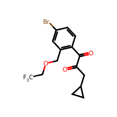 O=C(CC1CC1)C(=O)c1ccc(Br)cc1COCC(F)(F)F